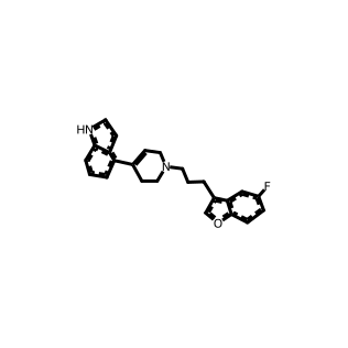 Fc1ccc2occ(CCCN3CC=C(c4cccc5[nH]ccc45)CC3)c2c1